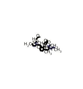 C=C/C=C\C(=C(/S)OCC1CO1)C(C)(C)Cc1cccc(C(C)(C)CC(=C/C=C\C)/C(=C\C)OCC2CO2)c1OCC1CO1